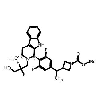 CC(c1cc(F)c([C@@H]2c3[nH]c4ccccc4c3C[C@@H](C)N2CC(F)(F)CO)c(F)c1)C1CN(C(=O)OC(C)(C)C)C1